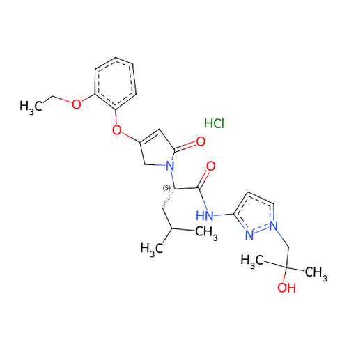 CCOc1ccccc1OC1=CC(=O)N([C@@H](CC(C)C)C(=O)Nc2ccn(CC(C)(C)O)n2)C1.Cl